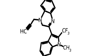 C#CCN1CC(c2c(C(F)(F)F)n(C)c3ccccc23)=Nc2ccccc21